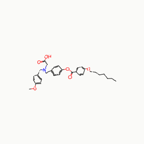 CCCCCCCOc1ccc(C(=O)Oc2ccc(CN(CC(=O)O)Cc3ccc(OC)cc3)cc2)cc1